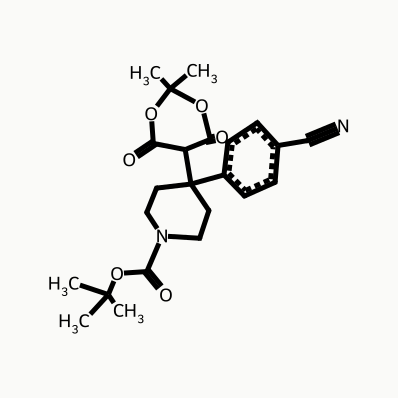 CC(C)(C)OC(=O)N1CCC(c2ccc(C#N)cc2)(C2C(=O)OC(C)(C)OC2=O)CC1